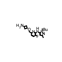 Cc1cc(Nc2nc(CO[C@H]3C[C@H](N)C3)ccc2F)n(C(C)(C)C)n1